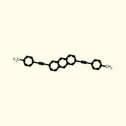 Cc1ccc(C#Cc2ccc3cc4cc(C#Cc5ccc(C(F)(F)F)cc5)ccc4cc3c2)cc1